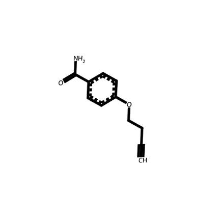 C#CCCOc1ccc(C(N)=O)cc1